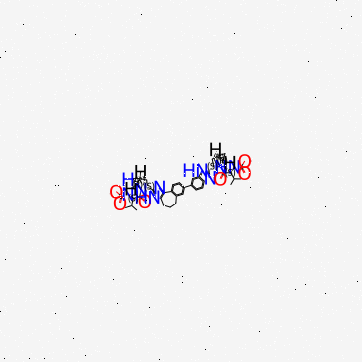 COC(=O)N[C@H](C(=O)N1[C@@H]2C[C@@H]2C[C@H]1c1nc2c([nH]1)CCCc1cc(-c3ccc4nc([C@@H]5C[C@H]6C[C@H]6N5C(=O)[C@@H](NC(=O)OC)C(C)C)[nH]c4c3)ccc1-2)C(C)C